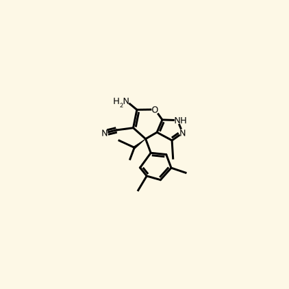 Cc1cc(C)cc([C@]2(C(C)C)C(C#N)=C(N)Oc3[nH]nc(C)c32)c1